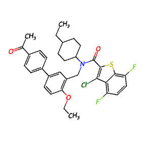 CCOc1ccc(-c2ccc(C(C)=O)cc2)cc1CN(C(=O)c1sc2c(F)ccc(F)c2c1Cl)C1CCC(CC)CC1